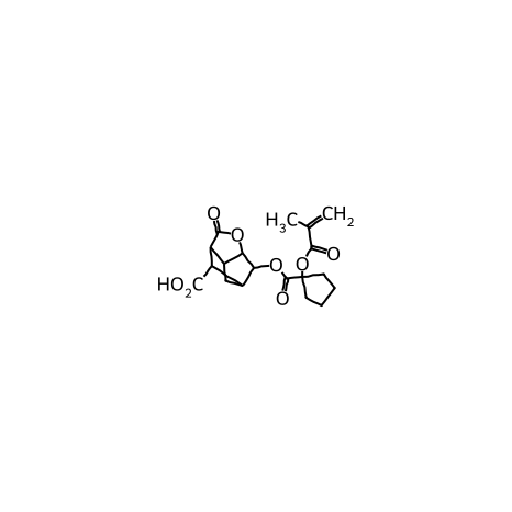 C=C(C)C(=O)OC1(C(=O)OC2C3CC4C2OC(=O)C4C3C(=O)O)CCCC1